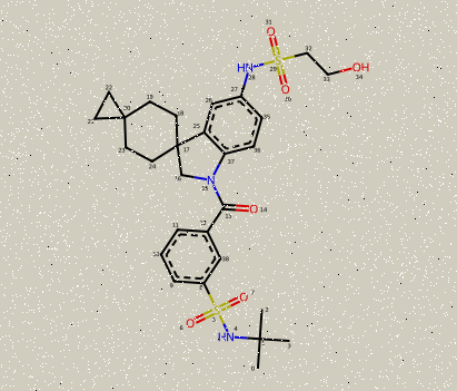 CC(C)(C)NS(=O)(=O)c1cccc(C(=O)N2CC3(CCC4(CC4)CC3)c3cc(NS(=O)(=O)CCO)ccc32)c1